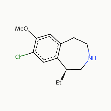 CC[C@@H]1CNCCc2cc(OC)c(Cl)cc21